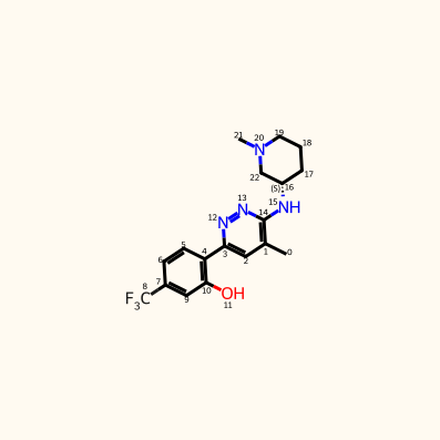 Cc1cc(-c2ccc(C(F)(F)F)cc2O)nnc1N[C@H]1CCCN(C)C1